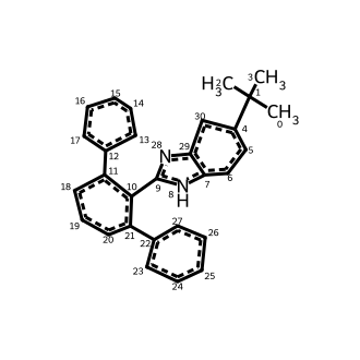 CC(C)(C)c1ccc2[nH]c(-c3c(-c4ccccc4)cccc3-c3ccccc3)nc2c1